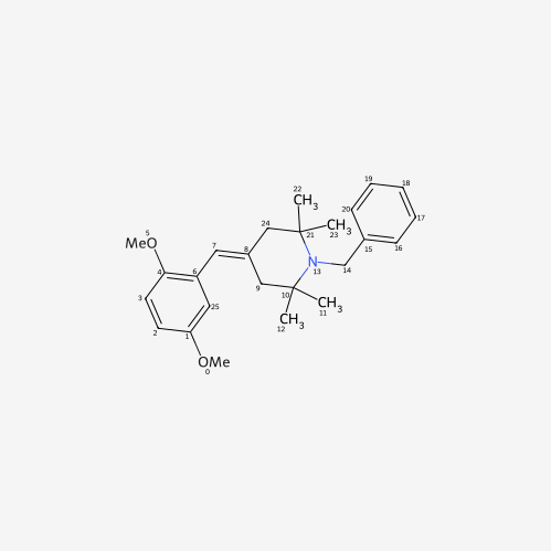 COc1ccc(OC)c(C=C2CC(C)(C)N(Cc3ccccc3)C(C)(C)C2)c1